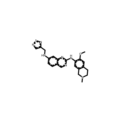 COc1cc2c(cc1Nc1ncc3ccc(NCc4cnsn4)cc3n1)CN(C)CC2